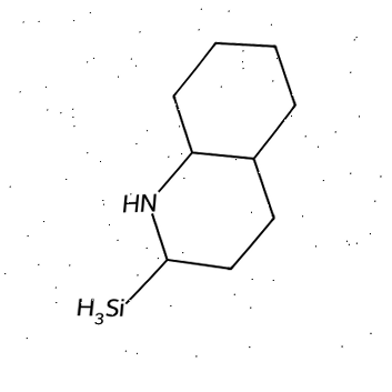 [SiH3]C1CCC2CCCCC2N1